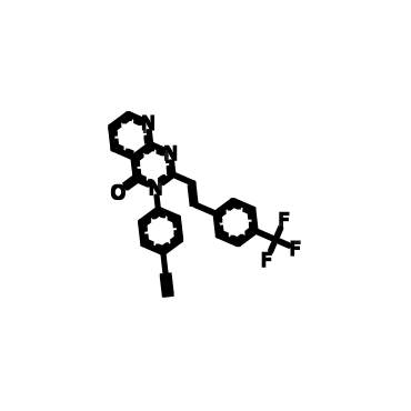 C#Cc1ccc(-n2c(/C=C/c3ccc(C(F)(F)F)cc3)nc3ncccc3c2=O)cc1